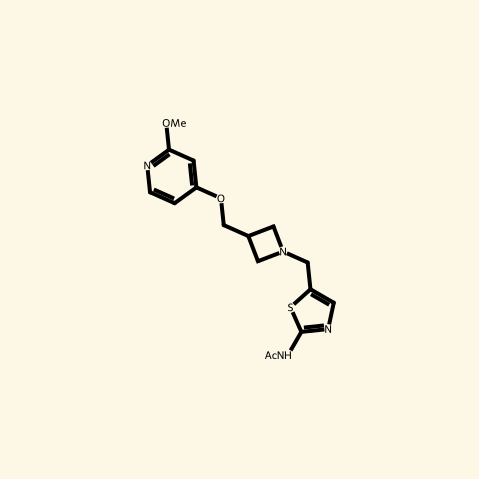 COc1cc(OCC2CN(Cc3cnc(NC(C)=O)s3)C2)ccn1